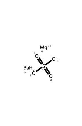 O=S(=O)([O-])[O-].[BaH2].[Mg+2]